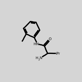 Cc1ccccc1NC(=O)C(N)C(C)C